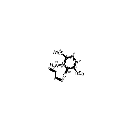 C=CC=C.CSc1nnc(C(C)(C)C)c(=O)n1N